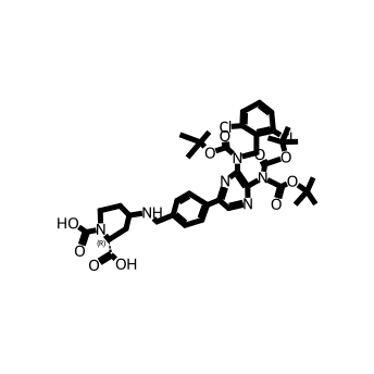 CC(C)(C)OC(=O)N(Cc1c(Cl)cccc1Cl)c1nc(-c2ccc(CNC3CCN(C(=O)O)[C@@H](C(=O)O)C3)cc2)cnc1N(C(=O)OC(C)(C)C)C(=O)OC(C)(C)C